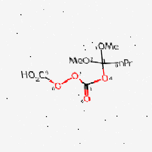 CCCC(OC)(OC)OC(=O)OOC(=O)O